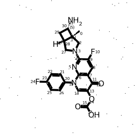 C[C@@]12CN(c3nc4c(cc3F)c(=O)c(OC(=O)O)cn4-c3ccc(F)cc3)C[C@@H]1C[C@@H]2N